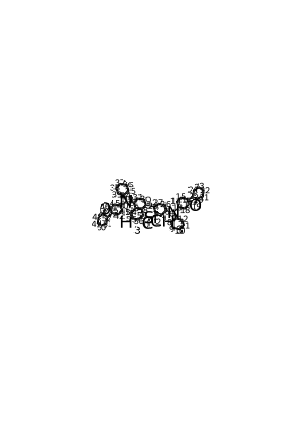 C[Si]1(C)c2cc(N(c3ccccc3)c3ccc4c(c3)oc3ccccc34)ccc2-c2ccc(N(c3ccccc3)c3ccc4c(c3)oc3ccccc34)c3cccc1c23